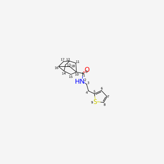 O=C(NCCc1cccs1)C12CC3CC(C1)C(C3)C2